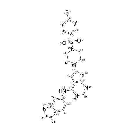 O=S(=O)(c1ccc(Br)cc1)N1CCC(c2cc3c(Nc4ccc5scnc5c4)ncnc3s2)CC1